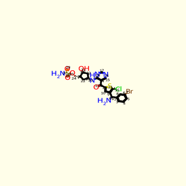 N[C@H](c1cccc(Br)c1)c1cc(C(=O)c2cncnc2N[C@@H]2C[C@H](COS(N)(=O)=O)[C@@H](O)C2)sc1Cl